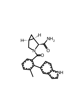 Cc1cccc(C(=O)N2C[C@H]3C[C@H]3[C@H]2C(N)=O)c1-c1ccc2[nH]ccc2c1